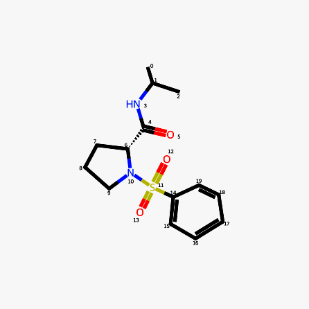 CC(C)NC(=O)[C@H]1CCCN1S(=O)(=O)c1ccccc1